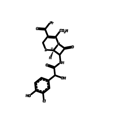 CC(C)C(=O)C1=C(C(=O)O)N2C(=O)C(NC(=O)C(O)c3ccc(O)c(Cl)c3)[C@H]2SC1